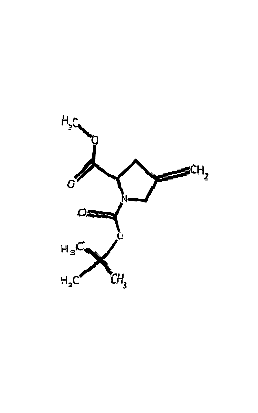 C=C1CC(C(=O)OC)N(C(=O)OC(C)(C)C)C1